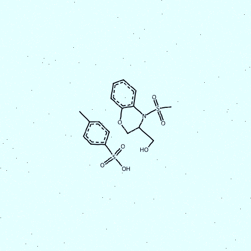 CS(=O)(=O)N1c2ccccc2OCC1CO.Cc1ccc(S(=O)(=O)O)cc1